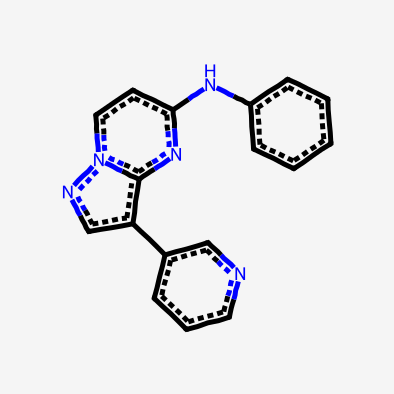 c1ccc(Nc2ccn3ncc(-c4cccnc4)c3n2)cc1